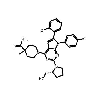 CC1(C(N)=O)CCN(c2nc(N3CCC[C@@H]3CO)nc3c2nc(-c2ccccc2Cl)n3-c2ccc(Cl)cc2)CC1